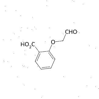 O=[C]COc1ccccc1C(=O)O